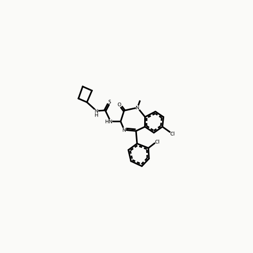 CN1C(=O)C(NC(=S)NC2CCC2)N=C(c2ccccc2Cl)c2cc(Cl)ccc21